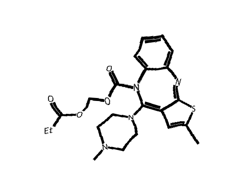 CCC(=O)OCOC(=O)N1C(N2CCN(C)CC2)=c2cc(C)sc2=Nc2ccccc21